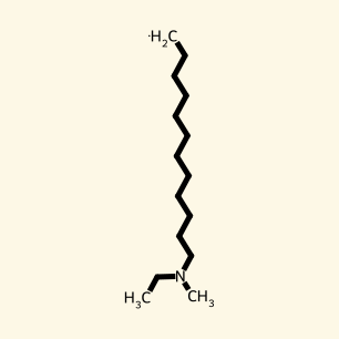 [CH2]CCCCCCCCCCCN(C)CC